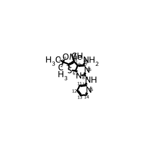 COC(C)(C)c1sc2nc(Nc3ccccn3)nc(N)c2c1C